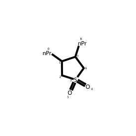 CCCC1CS(=O)(=O)CC1CCC